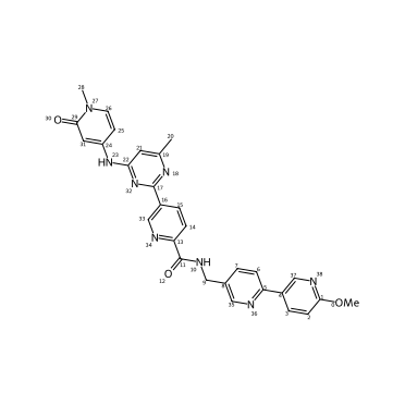 COc1ccc(-c2ccc(CNC(=O)c3ccc(-c4nc(C)cc(Nc5ccn(C)c(=O)c5)n4)cn3)cn2)cn1